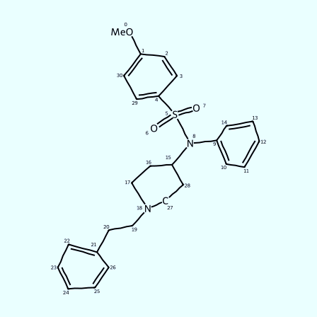 COc1ccc(S(=O)(=O)N(c2ccccc2)C2CCN(CCc3ccccc3)CC2)cc1